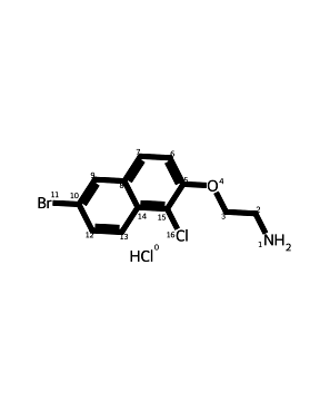 Cl.NCCOc1ccc2cc(Br)ccc2c1Cl